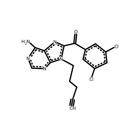 C#CCCCn1c(C(=O)c2cc(Cl)cc(Cl)c2)nc2c(N)ncnc21